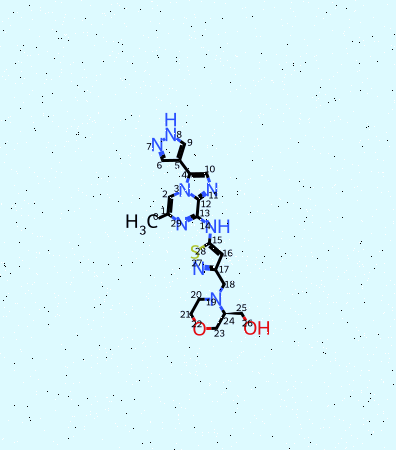 Cc1cn2c(-c3cn[nH]c3)cnc2c(Nc2cc(CN3CCOC[C@@H]3CO)ns2)n1